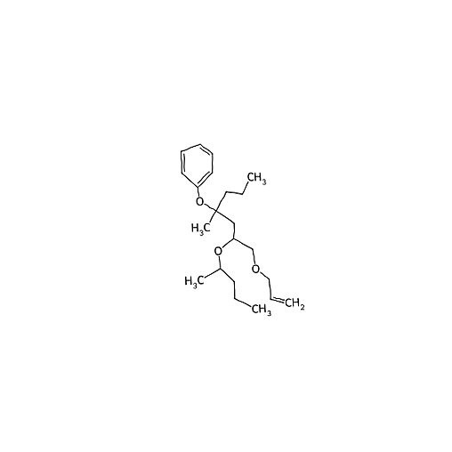 C=CCOCC(CC(C)(CCC)Oc1ccccc1)OC(C)CCC